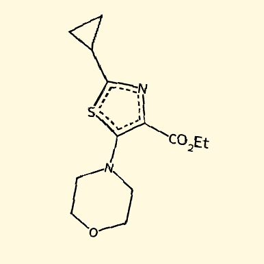 CCOC(=O)c1nc(C2CC2)sc1N1CCOCC1